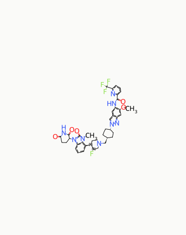 COc1cc2nn([C@H]3CC[C@H](CN4CC[C@H](c5cccc6c5n(C)c(=O)n6C5CCC(=O)NC5=O)[C@@H](F)C4)CC3)cc2cc1NC(=O)c1cccc(C(F)(F)F)n1